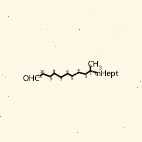 CCCCCCCC(C)CCCCCCCCC=O